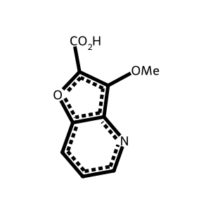 COc1c(C(=O)O)oc2cccnc12